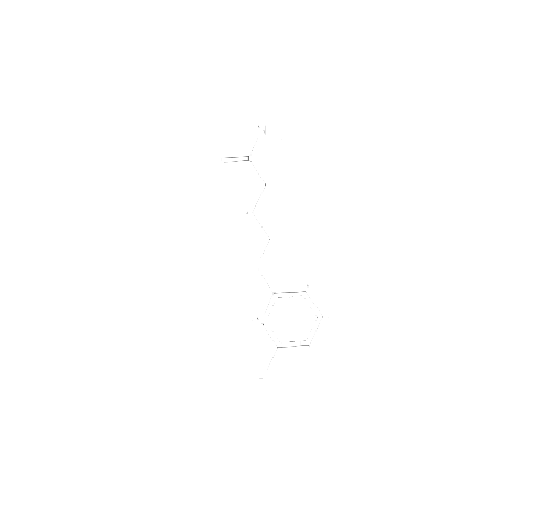 NC(=O)CCCSc1cccc(Br)n1